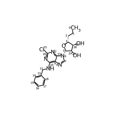 CCC[C@H]1O[C@@H](n2cnc3c(NCc4ccccc4)nc(Cl)nc32)[C@H](O)[C@@H]1O